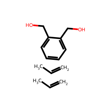 C=CC.C=CC.OCc1ccccc1CO